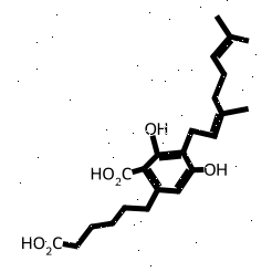 CC(C)=CCCC(C)=CCc1c(O)cc(CCCCCC(=O)O)c(C(=O)O)c1O